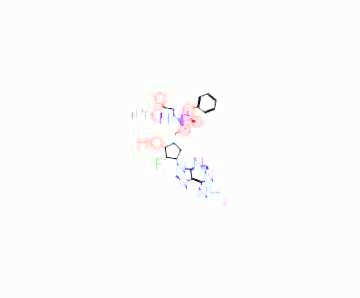 CC(C)OC(=O)[C@H](C)N[P@](=O)(OC[C@H]1[C@H](C)[C@@H](n2cnc3c(N)ncnc32)[C@H](F)[C@@H]1O)Oc1ccccc1